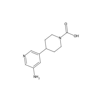 Nc1cncc(C2CCN(C(=O)O)CC2)c1